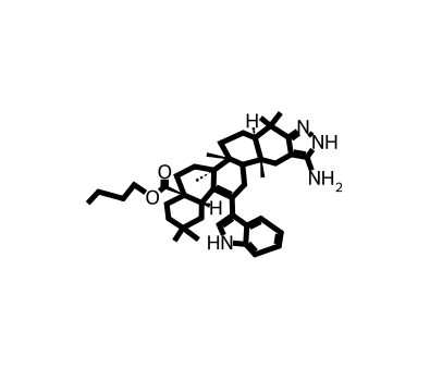 CCCCOC(=O)[C@]12CCC(C)(C)C[C@H]1C1=C(c3c[nH]c4ccccc34)CC3[C@@]4(C)Cc5c(n[nH]c5N)C(C)(C)[C@@H]4CC[C@@]3(C)[C@]1(C)CC2